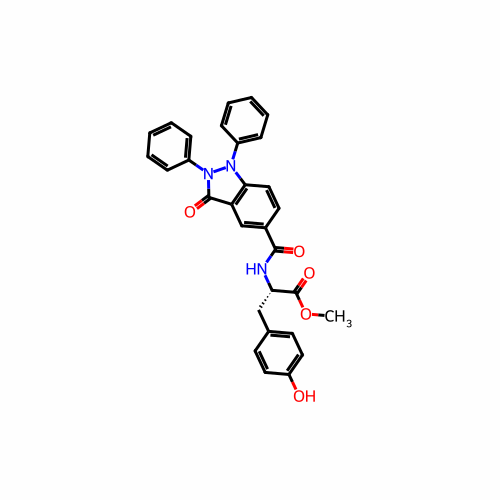 COC(=O)[C@H](Cc1ccc(O)cc1)NC(=O)c1ccc2c(c1)c(=O)n(-c1ccccc1)n2-c1ccccc1